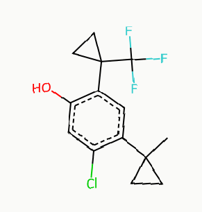 CC1(c2cc(C3(C(F)(F)F)CC3)c(O)cc2Cl)CC1